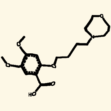 COc1cc(OCCCCN2CCOCC2)c(C(=O)O)cc1OC